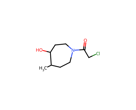 CC1CCN(C(=O)CCl)CCC1O